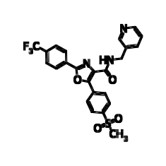 CS(=O)(=O)c1ccc(-c2oc(-c3ccc(C(F)(F)F)cc3)nc2C(=O)NCc2cccnc2)cc1